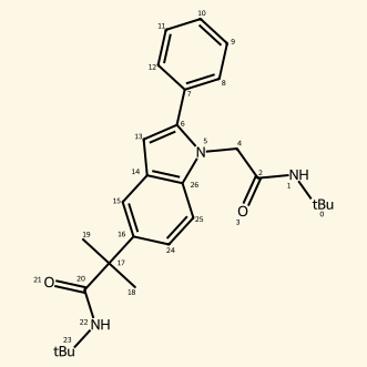 CC(C)(C)NC(=O)Cn1c(-c2ccccc2)cc2cc(C(C)(C)C(=O)NC(C)(C)C)ccc21